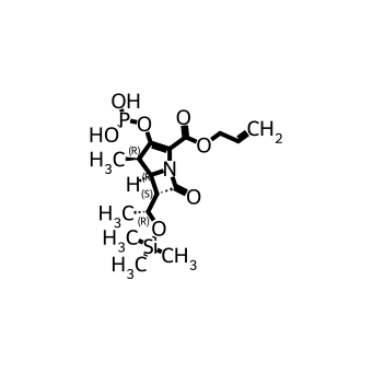 C=CCOC(=O)C1=C(OP(O)O)[C@H](C)[C@@H]2[C@@H]([C@@H](C)O[Si](C)(C)C)C(=O)N12